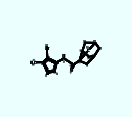 Cc1nsc(NC(=O)C23CC4CC(CC2C4)C3)c1Br